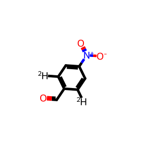 [2H]c1cc([N+](=O)[O-])cc([2H])c1C=O